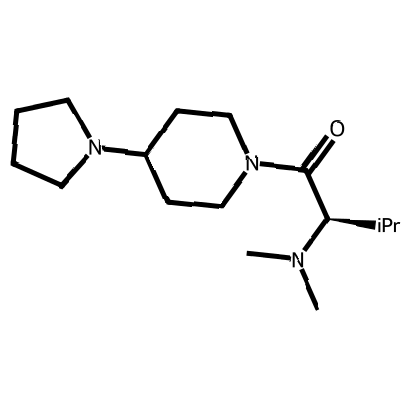 CC(C)[C@H](C(=O)N1CCC(N2CCCC2)CC1)N(C)C